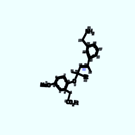 CCOC(=O)Cc1cc(OC)ccc1OC(C)(/C=C(\C)c1cccc(CN)c1)CC